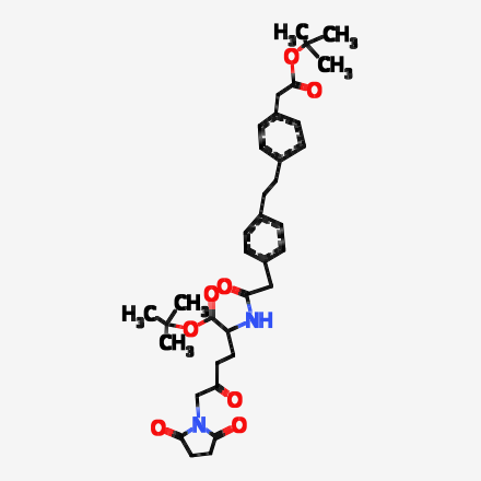 CC(C)(C)OC(=O)Cc1ccc(CCc2ccc(CC(=O)NC(CCC(=O)CN3C(=O)CCC3=O)C(=O)OC(C)(C)C)cc2)cc1